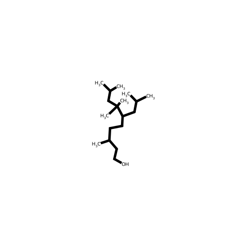 CC(C)CC(CCC(C)CCO)C(C)(C)CC(C)C